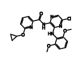 COc1cccc(OC)c1Nc1nc(Cl)cnc1NC(=O)c1cccc(OC2CC2)n1